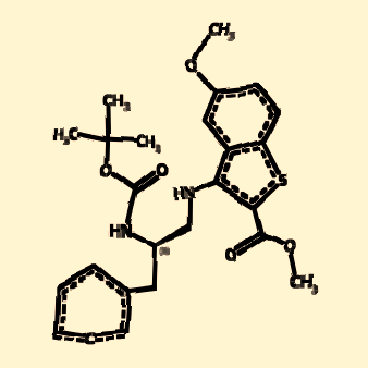 COC(=O)c1sc2ccc(OC)cc2c1NC[C@@H](Cc1ccccc1)NC(=O)OC(C)(C)C